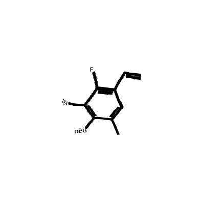 C=Cc1cc(C)c(CCCC)c(Br)c1F